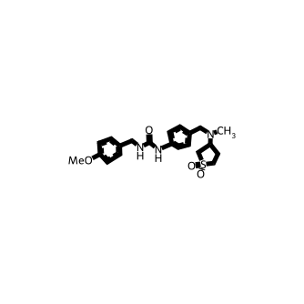 COc1ccc(CNC(=O)Nc2ccc(CN(C)C3CCS(=O)(=O)C3)cc2)cc1